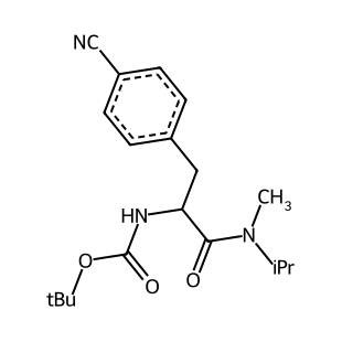 CC(C)N(C)C(=O)C(Cc1ccc(C#N)cc1)NC(=O)OC(C)(C)C